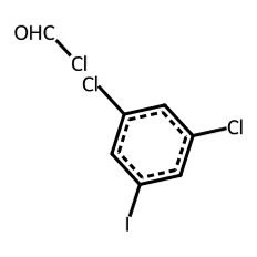 Clc1cc(Cl)cc(I)c1.O=CCl